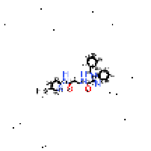 O=C(CCNC(=O)c1nc2ccccc2n1Cc1ccccc1)Nc1ccc(C(F)(F)F)cn1